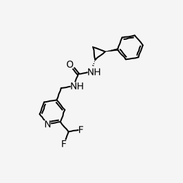 O=C(NCc1ccnc(C(F)F)c1)N[C@@H]1C[C@H]1c1ccccc1